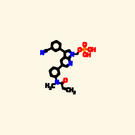 C=CC(=O)N(C)c1cccc(-c2cnc3c(c2)c(-c2cccc(C#N)c2)cn3COP(=O)(O)O)c1